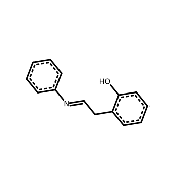 Oc1c[c]ccc1CC=Nc1ccccc1